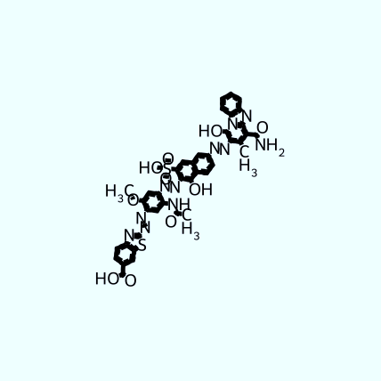 COc1cc(N=Nc2c(S(=O)(=O)O)cc3cc(N=Nc4c(C)c(C(N)=O)c5nc6ccccc6n5c4O)ccc3c2O)c(NC(C)=O)cc1N=Nc1nc2ccc(C(=O)O)cc2s1